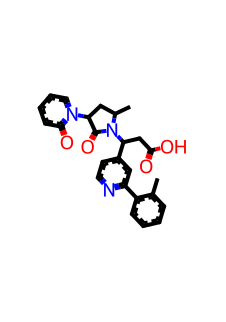 Cc1ccccc1-c1cc(C(CC(=O)O)N2C(=O)C(n3ccccc3=O)CC2C)ccn1